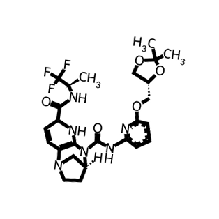 C[C@@H](NC(=O)C1C=CC2=C(N1)N(C(=O)Nc1cccc(OC[C@@H]3COC(C)(C)O3)n1)[C@H]1CCN2C1)C(F)(F)F